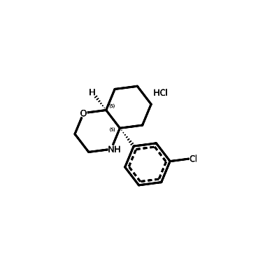 Cl.Clc1cccc([C@@]23CCCC[C@@H]2OCCN3)c1